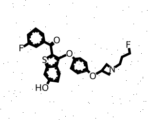 O=C(c1cccc(F)c1)c1sc2cc(O)ccc2c1Oc1ccc(OC2CN(CCCF)C2)cc1